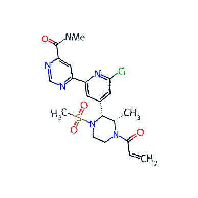 C=CC(=O)N1CCN(S(C)(=O)=O)[C@H](c2cc(Cl)nc(-c3cc(C(=O)NC)ncn3)c2)[C@@H]1C